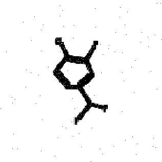 Fc1cc(C(F)F)ccc1Cl